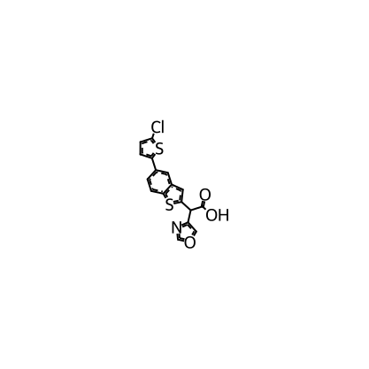 O=C(O)C(c1cocn1)c1cc2cc(-c3ccc(Cl)s3)ccc2s1